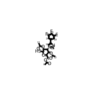 CC(=O)OCC1OC(S)C(OC(C)=O)C(n2cc(-c3cc(F)c(F)c(F)c3)nn2)C1OC(C)=O